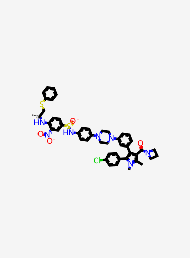 Cc1c(C(=O)N2CCC2)c(-c2cccc(N3CCN(c4ccc(N[S+]([O-])c5ccc(N[C@H](C)CSc6ccccc6)c([N+](=O)[O-])c5)cc4)CC3)c2)c(-c2ccc(Cl)cc2)n1C